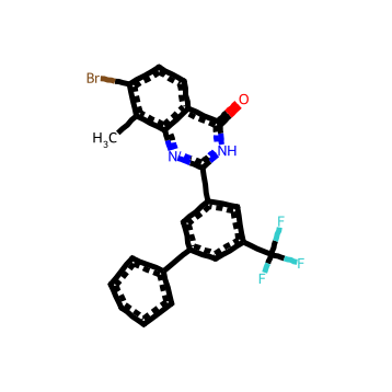 Cc1c(Br)ccc2c(=O)[nH]c(-c3cc(-c4ccccc4)cc(C(F)(F)F)c3)nc12